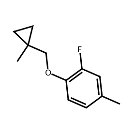 Cc1ccc(OCC2(C)CC2)c(F)c1